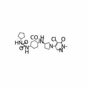 Cn1ncc(N2CC[C@@H](N(C(=O)O)C3CCC(NS(=O)(=O)NC4CCCC4)CC3)C2)c(Cl)c1=O